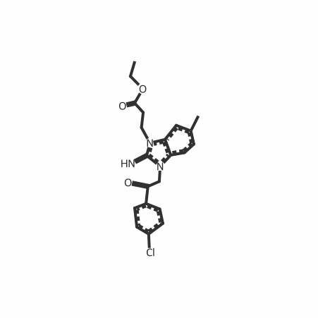 CCOC(=O)CCn1c(=N)n(CC(=O)c2ccc(Cl)cc2)c2ccc(C)cc21